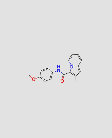 COc1ccc(NC(=O)c2c(C)cc3ccccn23)cc1